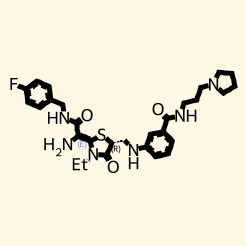 CCN1C(=O)[C@@H](CNc2cccc(C(=O)NCCCN3CCCC3)c2)S/C1=C(/N)C(=O)NCc1ccc(F)cc1